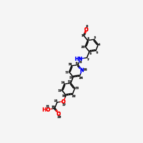 O=Cc1cccc(CNc2ccc(-c3ccc(OCC(=O)O)cc3)cn2)c1